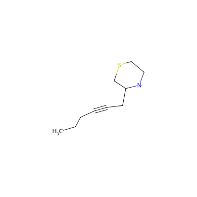 CCCC#CCC1CSCC[N]1